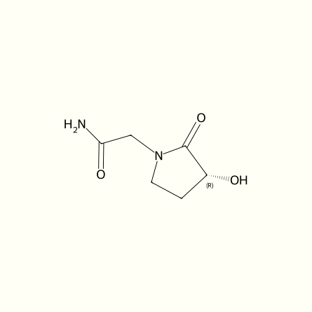 NC(=O)CN1CC[C@@H](O)C1=O